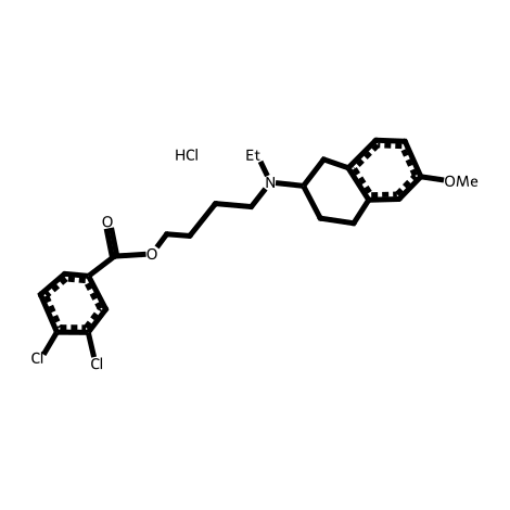 CCN(CCCCOC(=O)c1ccc(Cl)c(Cl)c1)C1CCc2cc(OC)ccc2C1.Cl